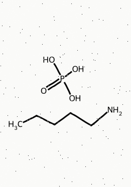 CCCCCN.O=P(O)(O)O